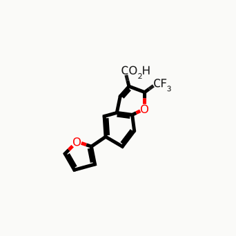 O=C(O)C1=Cc2cc(-c3ccco3)ccc2OC1C(F)(F)F